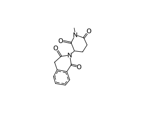 CN1C(=O)CCC(N2C(=O)Cc3ccccc3C2=O)C1=O